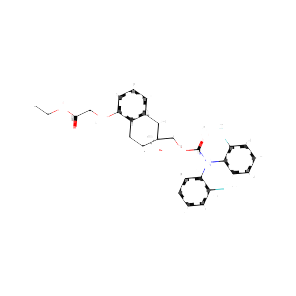 CCOC(=O)COc1cccc2c1CC[C@](O)(COC(=O)N(c1ccccc1F)c1ccccc1F)C2